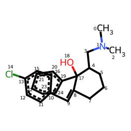 CN(C)CC1CCC/C(=C/c2ccc(Cl)cc2)C1(O)c1ccccc1